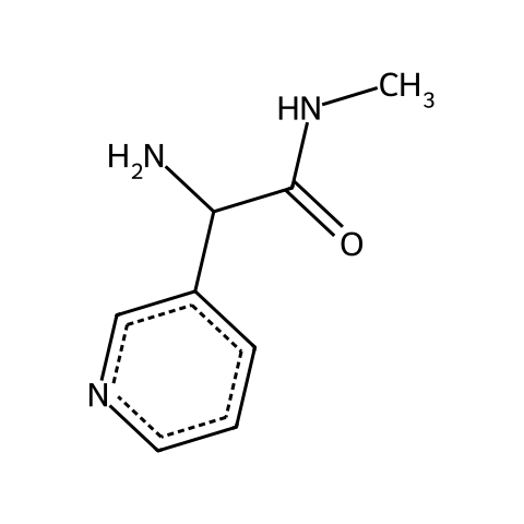 CNC(=O)C(N)c1cccnc1